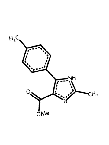 COC(=O)c1nc(C)[nH]c1-c1ccc(C)cc1